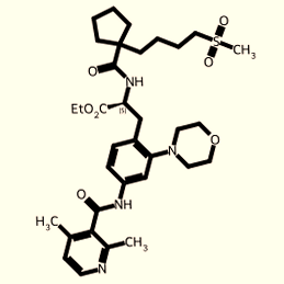 CCOC(=O)[C@H](Cc1ccc(NC(=O)c2c(C)ccnc2C)cc1N1CCOCC1)NC(=O)C1(CCCCS(C)(=O)=O)CCCC1